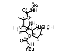 CCCCNC(=O)OC(C)C(N)C(N)(C1CCCCC1)C(C)OC(=O)NCCCC.Cl.Cl